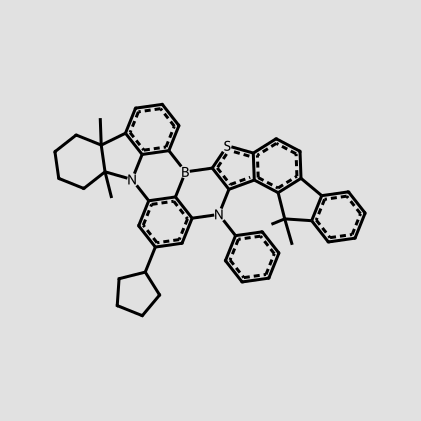 CC1(C)c2ccccc2-c2ccc3sc4c(c3c21)N(c1ccccc1)c1cc(C2CCCC2)cc2c1B4c1cccc3c1N2C1(C)CCCCC31C